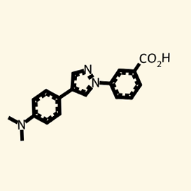 CN(C)c1ccc(-c2cnn(-c3cccc(C(=O)O)c3)c2)cc1